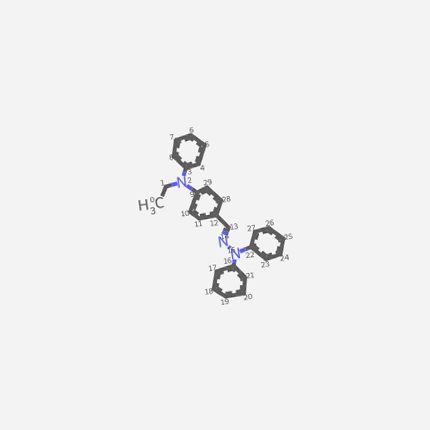 CCN(c1ccccc1)c1ccc(/C=N/N(c2ccccc2)c2ccccc2)cc1